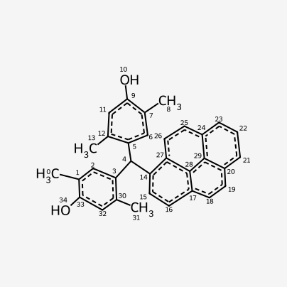 Cc1cc(C(c2cc(C)c(O)cc2C)c2ccc3ccc4cccc5ccc2c3c45)c(C)cc1O